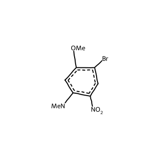 CNc1cc(OC)c(Br)cc1[N+](=O)[O-]